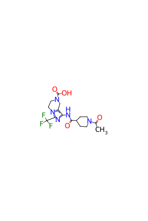 CC(=O)N1CCC(C(=O)Nc2nc(C(F)(F)F)n3c2CN(C(=O)O)CC3)CC1